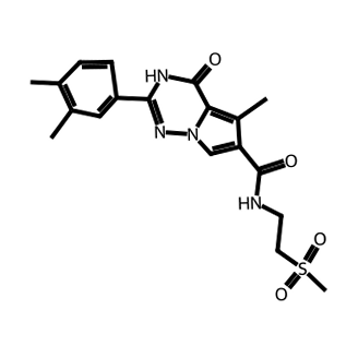 Cc1ccc(-c2nn3cc(C(=O)NCCS(C)(=O)=O)c(C)c3c(=O)[nH]2)cc1C